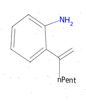 C=C(CCCCC)c1ccccc1N